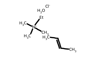 CC=CC.CC[N+](C)(C)C.O.[Cl-]